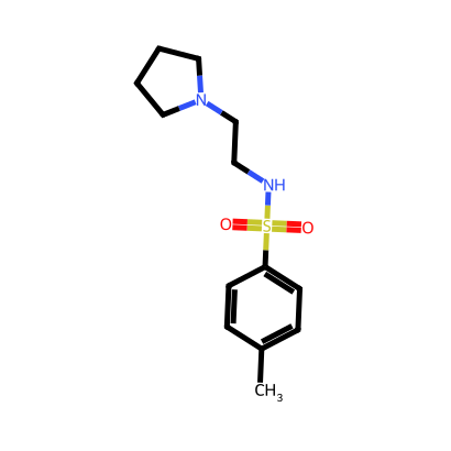 Cc1ccc(S(=O)(=O)NCCN2CCCC2)cc1